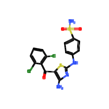 Nc1nc(Nc2ccc(S(N)(=O)=O)cc2)sc1C(=O)c1c(Cl)cccc1Cl